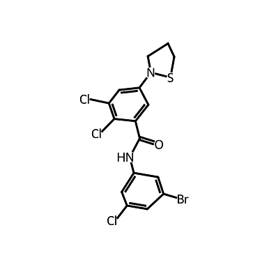 O=C(Nc1cc(Cl)cc(Br)c1)c1cc(N2CCCS2)cc(Cl)c1Cl